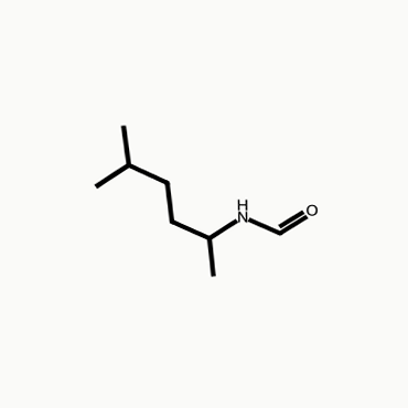 CC(C)CCC(C)NC=O